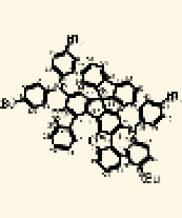 CC(C)(C)c1ccc(N(c2ccc(C(C)(C)C)cc2)c2cc3c(c4c2oc2ccccc24)-c2c(cc(N(c4ccc(C(C)(C)C)cc4)c4ccc(C(C)(C)C)cc4)c4c2oc2ccccc24)C32c3ccccc3-c3ccccc32)cc1